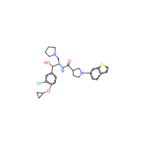 O=C(N[C@H](CN1CCCC1)[C@H](O)c1ccc(OC2CC2)c(Cl)c1)C1CCN(c2ccc3ccsc3c2)C1